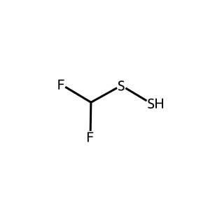 FC(F)SS